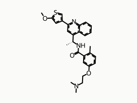 COc1cc(-c2cc([C@@H](C)NC(=O)c3cc(OCCN(C)C)ccc3C)c3ccccc3n2)cs1